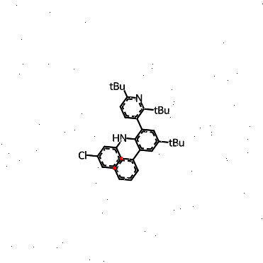 CC(C)(C)c1cc(-c2ccccc2)c(Nc2cccc(Cl)c2)c(-c2ccc(C(C)(C)C)nc2C(C)(C)C)c1